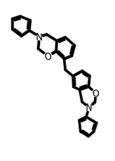 c1ccc(N2COc3ccc(Cc4cccc5c4OCN(c4ccccc4)C5)cc3C2)cc1